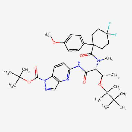 COc1ccc(C2(C(=O)N(C)[C@@H](C(=O)Nc3ccc4c(cnn4C(=O)OC(C)(C)C)n3)[C@H](C)O[Si](C)(C)C(C)(C)C)CCC(F)(F)CC2)cc1